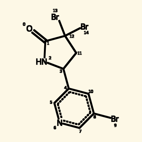 O=C1NC(c2cncc(Br)c2)CC1(Br)Br